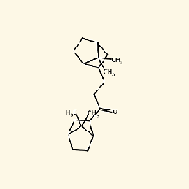 CC1(C)C2CCC1C(CCC(=O)C1CC3CCC1C3(C)C)C2